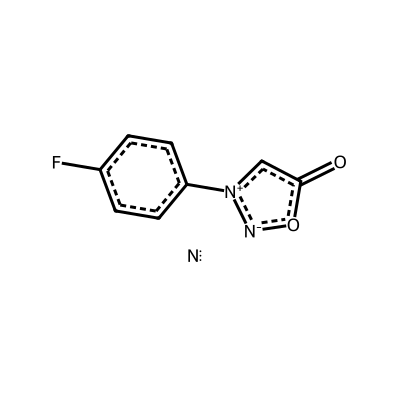 O=c1c[n+](-c2ccc(F)cc2)[n-]o1.[N]